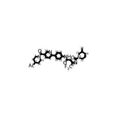 CC(=O)C1CCN(C(=O)c2ccc(-c3ccc(NC(=O)c4oc(N5CCCC(C)C5)nc4C(F)(F)F)cc3)nc2)CC1